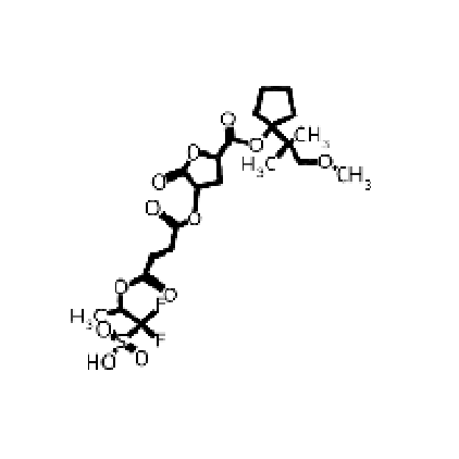 COCC(C)(C)C1(OC(=O)C2CC(OC(=O)CCC(=O)OC(C)C(F)(F)S(=O)(=O)O)C(=O)O2)CCCC1